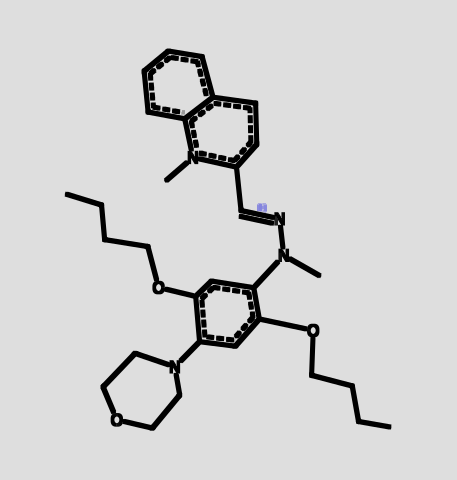 CCCCOc1cc(N(C)/N=C/c2ccc3ccccc3[n+]2C)c(OCCCC)cc1N1CCOCC1